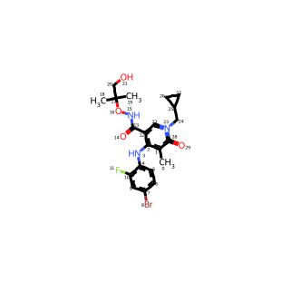 Cc1c(Nc2ccc(Br)cc2F)c(C(=O)NOC(C)(C)CO)cn(CC2CC2)c1=O